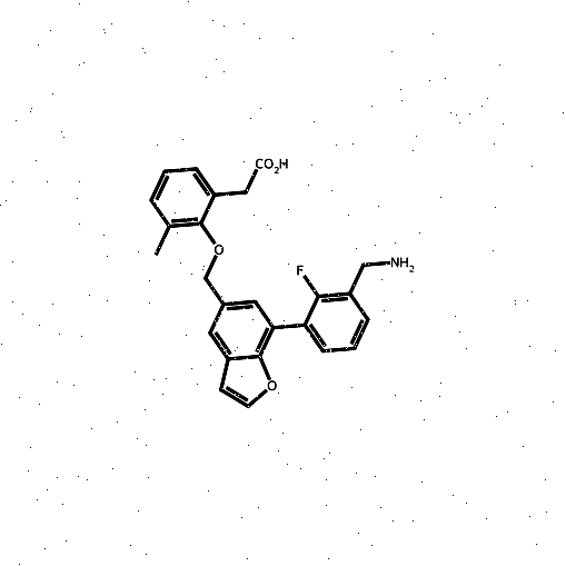 Cc1cccc(CC(=O)O)c1OCc1cc(-c2cccc(CN)c2F)c2occc2c1